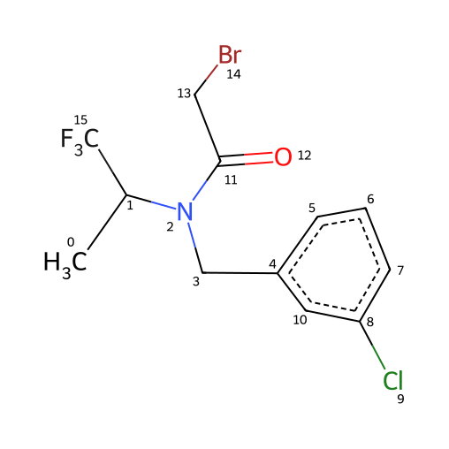 CC(N(Cc1cccc(Cl)c1)C(=O)CBr)C(F)(F)F